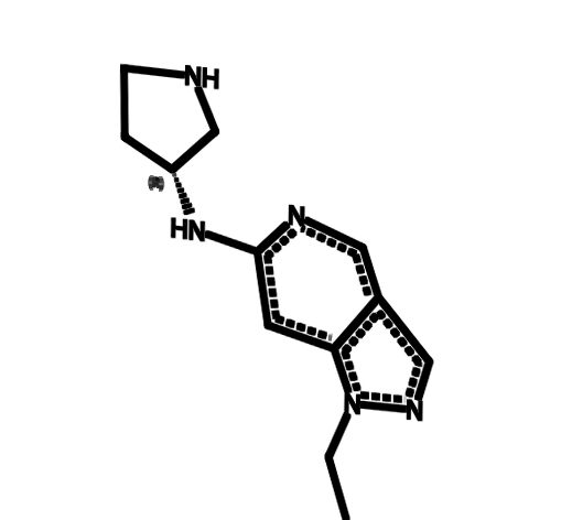 CCn1ncc2cnc(N[C@@H]3CCNC3)cc21